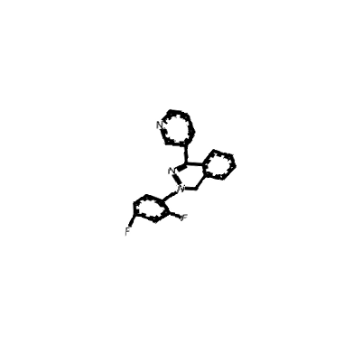 Fc1ccc(N2Cc3ccccc3C(c3cccnc3)=N2)c(F)c1